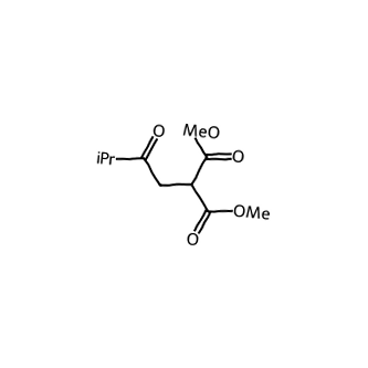 COC(=O)C(CC(=O)C(C)C)C(=O)OC